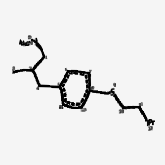 CNCC(C)Cc1ccc(SCCC(C)C)cc1